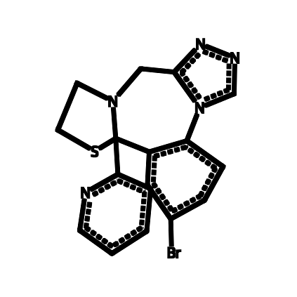 Brc1ccc2c(c1)C1(c3ccccn3)SCCN1Cc1nncn1-2